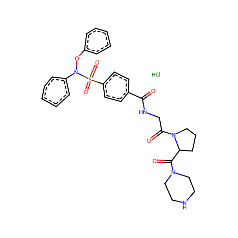 Cl.O=C(NCC(=O)N1CCCC1C(=O)N1CCNCC1)c1ccc(S(=O)(=O)N(Oc2ccccc2)c2ccccc2)cc1